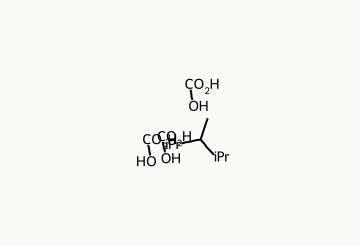 CC(C)C(C)C(C)C.O=C(O)O.O=C(O)O.O=C(O)O